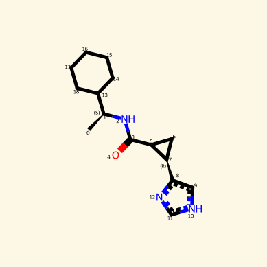 C[C@H](NC(=O)C1C[C@H]1c1c[nH]cn1)C1CCCCC1